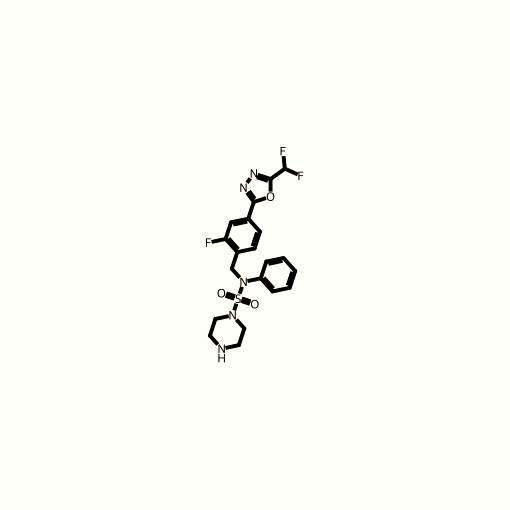 O=S(=O)(N1CCNCC1)N(Cc1ccc(-c2nnc(C(F)F)o2)cc1F)c1ccccc1